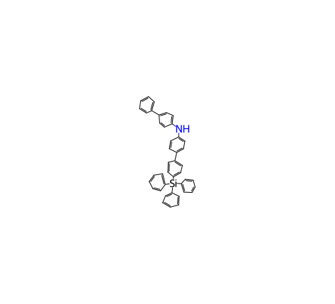 c1ccc(-c2ccc(Nc3ccc(-c4ccc([Si](c5ccccc5)(c5ccccc5)c5ccccc5)cc4)cc3)cc2)cc1